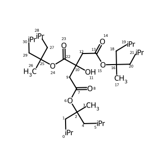 CC(C)CC(C)(CC(C)C)OC(=O)CC(O)(CC(=O)OC(C)(CC(C)C)CC(C)C)C(=O)OC(C)(CC(C)C)CC(C)C